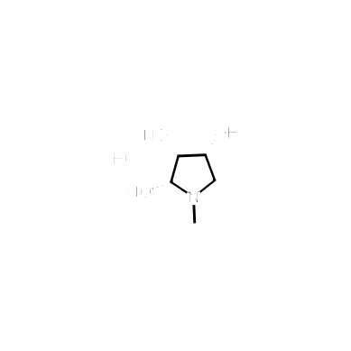 CN1C[C@@H](O)[C@@H](O)[C@H]1O.Cl